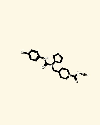 CC(C)(C)OC(=O)N1CCC(CN(C(=O)Nc2ccc(Cl)cc2)C2CCCC2)CC1